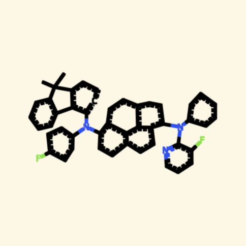 CC1(C)c2ccccc2-c2c(N(c3ccc(F)cc3)c3ccc4ccc5c(N(c6ccccc6)c6ncccc6F)ccc6ccc3c4c65)cccc21